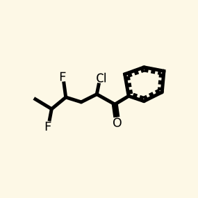 CC(F)C(F)CC(Cl)C(=O)c1ccccc1